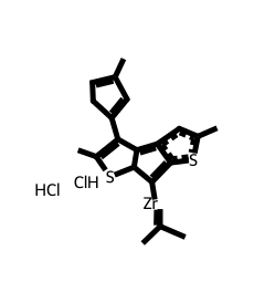 CC1=CCC(C2=C(C)SC3C2=c2cc(C)sc2=[C]3[Zr]=[C](C)C)=C1.Cl.Cl